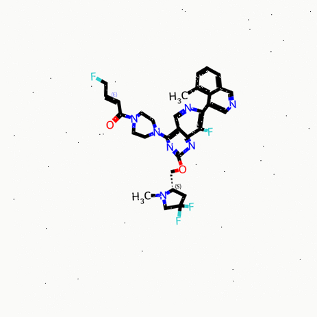 Cc1cccc2cncc(-c3ncc4c(N5CCN(C(=O)/C=C/CF)CC5)nc(OC[C@@H]5CC(F)(F)CN5C)nc4c3F)c12